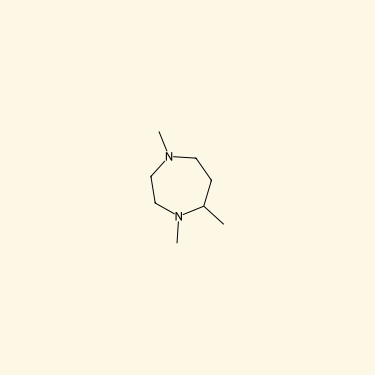 CC1CCN(C)CCN1C